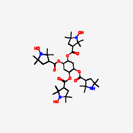 CC1(C)CC(C(=O)OC2CC(OC(=O)C3CC(C)(C)N(O)C3(C)C)C(OC(=O)C3CC(C)(C)N(O)C3(C)C)CC2OC(=O)C2CC(C)(C)N(O)C2(C)C)C(C)(C)N1